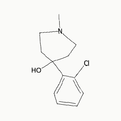 CN1CCC(O)(c2ccccc2Cl)CC1